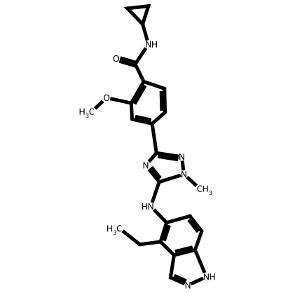 CCc1c(Nc2nc(-c3ccc(C(=O)NC4CC4)c(OC)c3)nn2C)ccc2[nH]ncc12